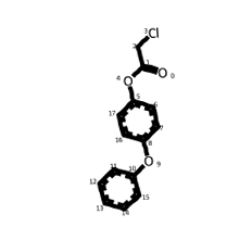 O=C(CCl)Oc1ccc(Oc2ccccc2)cc1